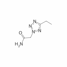 CCc1nnn(CC(N)=O)n1